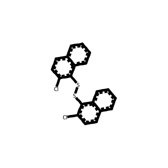 Clc1ccc2ccccc2c1SSc1c(Cl)ccc2ccccc12